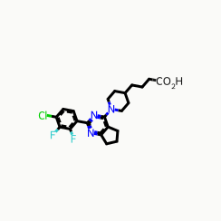 O=C(O)CCCC1CCN(c2nc(-c3ccc(Cl)c(F)c3F)nc3c2CCC3)CC1